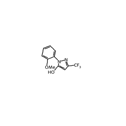 COc1ccccc1-n1nc(C(F)(F)F)cc1O